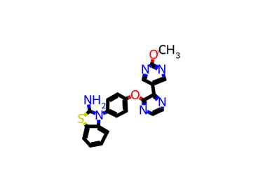 COc1ncc(-c2nccnc2Oc2ccc(N3c4ccccc4SC3N)cc2)cn1